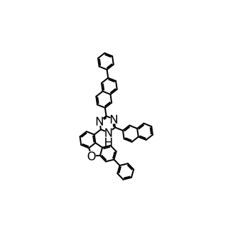 c1ccc(-c2ccc3cc(C4=NC(c5cccc6oc7cc(-c8ccccc8)ccc7c56)NC(c5ccc6ccccc6c5)=N4)ccc3c2)cc1